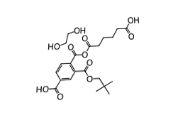 CC(C)(C)COC(=O)c1cc(C(=O)O)ccc1C(=O)OC(=O)CCCCC(=O)O.OCCO